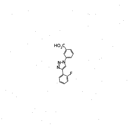 O=C(O)c1cccc(-n2cc(-c3ccccc3F)nn2)c1